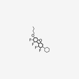 CCCCOc1cc2oc3cc(C4CCCCC4)c(F)c(F)c3c2c(F)c1F